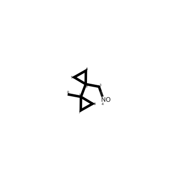 CC1(C2(CN=O)CC2)CC1